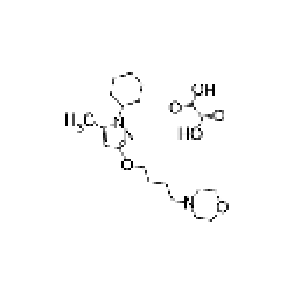 Cc1cc(OCCCCN2CCOCC2)nn1C1CCCCC1.O=C(O)C(=O)O